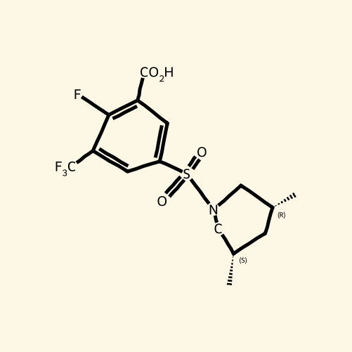 C[C@@H]1C[C@H](C)CN(S(=O)(=O)c2cc(C(=O)O)c(F)c(C(F)(F)F)c2)C1